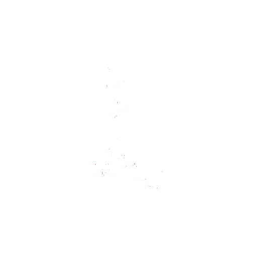 COC(=O)C(CCCCNC(=O)NCc1ccccc1)NC(=O)NCc1ccccc1